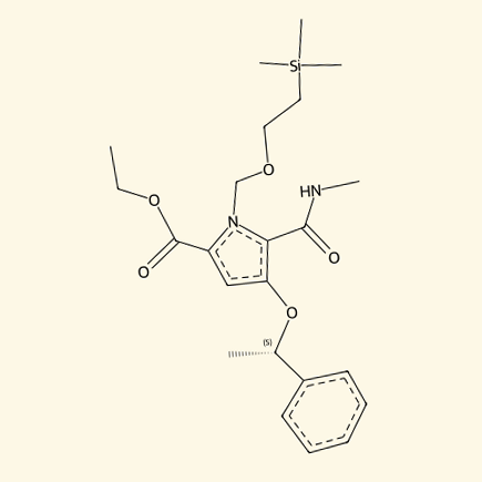 CCOC(=O)c1cc(O[C@@H](C)c2ccccc2)c(C(=O)NC)n1COCC[Si](C)(C)C